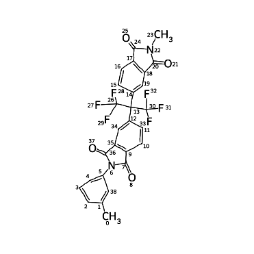 Cc1cccc(N2C(=O)c3ccc(C(c4ccc5c(c4)C(=O)N(C)C5=O)(C(F)(F)F)C(F)(F)F)cc3C2=O)c1